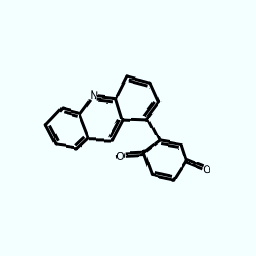 O=C1C=CC(=O)C(c2cccc3nc4ccccc4cc23)=C1